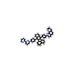 c1ccc(-c2cccc(-c3ccc(-c4c5c(c(-c6ccc(-c7ccc8ccc9cccnc9c8n7)cc6)c6ccccc46)-c4cccc6cccc-5c46)cc3)n2)nc1